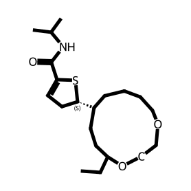 CCC1CCC([C@@H]2CC=C(C(=O)NC(C)C)S2)CCCCOCCO1